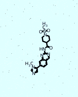 Cn1cncc1-c1ccc2cnc(NC(=O)C3CCN(S(C)(=O)=O)CC3)nc2c1